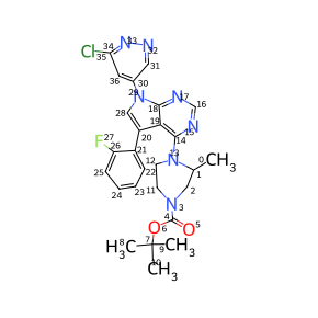 CC1CN(C(=O)OC(C)(C)C)CCN1c1ncnc2c1c(-c1ccccc1F)cn2-c1cnnc(Cl)c1